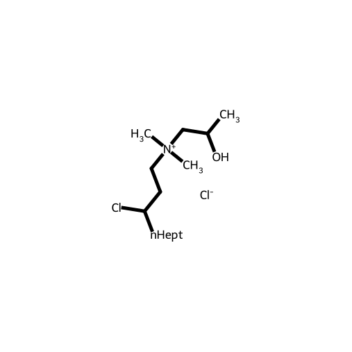 CCCCCCCC(Cl)CC[N+](C)(C)CC(C)O.[Cl-]